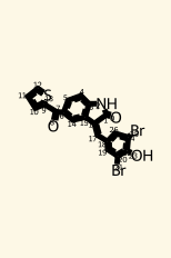 O=C1Nc2ccc(C(=O)c3cccs3)cc2C1=Cc1cc(Br)c(O)c(Br)c1